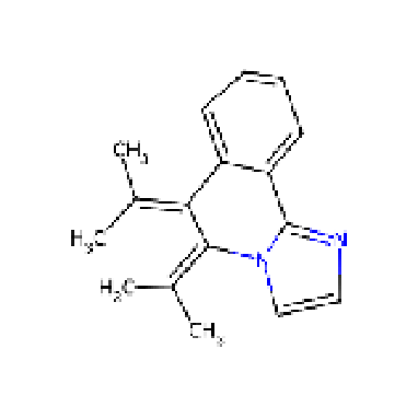 CC(C)=c1c(=C(C)C)n2ccnc2c2ccccc12